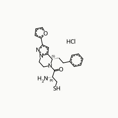 Cl.N[C@@H](CS)C(=O)N1CCn2nc(-c3ccco3)cc2[C@@H]1CCc1ccccc1